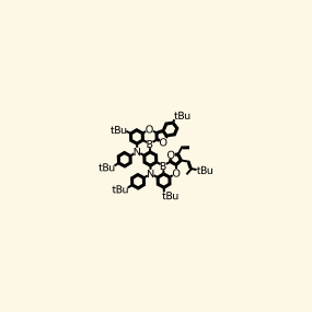 C=Cc1oc2c(c1/C=C(\C)C(C)(C)C)Oc1cc(C(C)(C)C)cc3c1B2c1cc2c(cc1N3c1ccc(C(C)(C)C)cc1)N(c1ccc(C(C)(C)C)cc1)c1cc(C(C)(C)C)cc3c1B2c1oc2ccc(C(C)(C)C)cc2c1O3